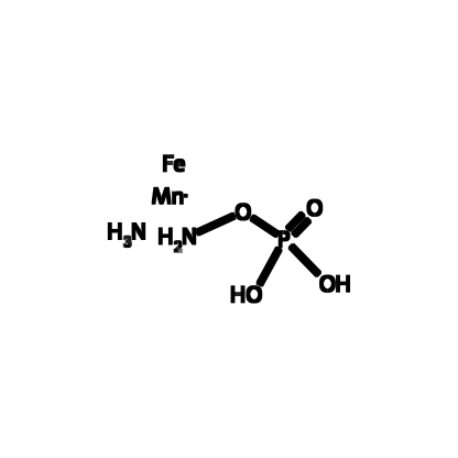 N.NOP(=O)(O)O.[Fe].[Mn]